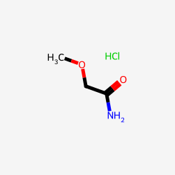 COCC(N)=O.Cl